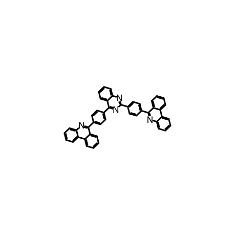 c1ccc2c(-c3ccc(-c4nc5ccccc5c5ccccc45)cc3)nc(-c3ccc(-c4nc5ccccc5c5ccccc45)cc3)nc2c1